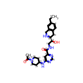 CCc1ccc2c(c1)CN[C@H](C(O)CNC(=O)c1cc(NC3CCN(C(C)=O)CC3)ncn1)C2